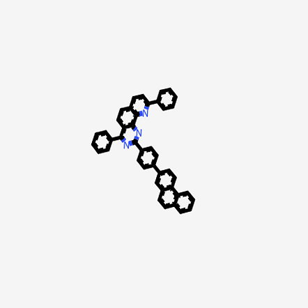 c1ccc(-c2ccc3ccc4c(-c5ccccc5)nc(-c5ccc(-c6ccc7c(ccc8ccccc87)c6)cc5)nc4c3n2)cc1